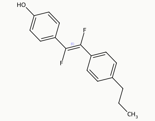 CCCc1ccc(/C(F)=C(\F)c2ccc(O)cc2)cc1